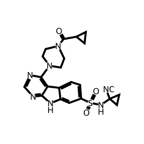 N#CC1(NS(=O)(=O)c2ccc3c(c2)[nH]c2ncnc(N4CCN(C(=O)C5CC5)CC4)c23)CC1